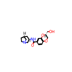 O=C(N[C@@H]1C[C@@H]2CCN(C2)C1)c1ccc2c(c1)O[C@H](CO)CO2